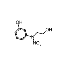 O=[N+]([O-])N(CCO)c1cccc(O)c1